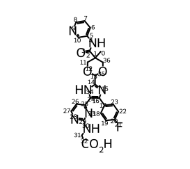 CC1(C(=O)Nc2cccnc2)COC(c2nc(-c3ccc(F)cc3)c(-c3ccnc(NCC(=O)O)n3)[nH]2)OC1